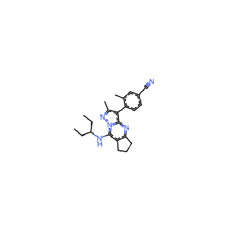 CCC(CC)Nc1c2c(nc3c(-c4ccc(C#N)cc4C)c(C)nn13)CCC2